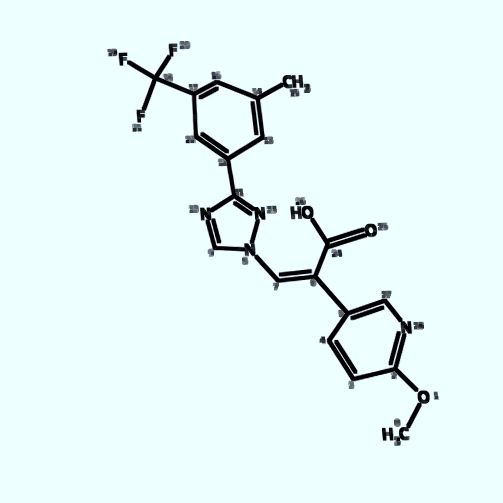 COc1ccc(/C(=C/n2cnc(-c3cc(C)cc(C(F)(F)F)c3)n2)C(=O)O)cn1